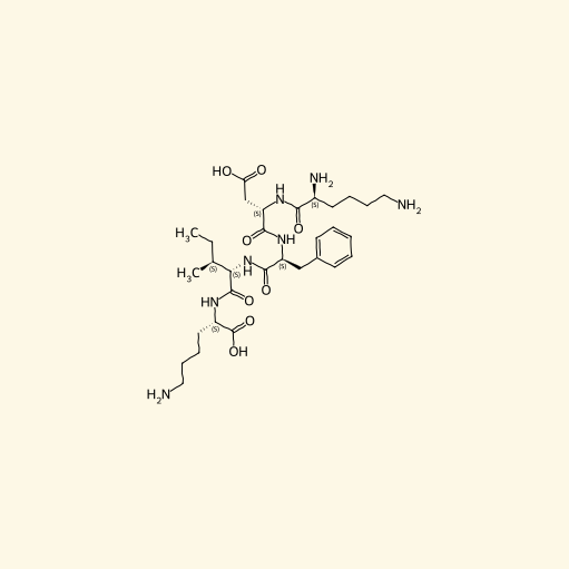 CC[C@H](C)[C@H](NC(=O)[C@H](Cc1ccccc1)NC(=O)[C@H](CC(=O)O)NC(=O)[C@@H](N)CCCCN)C(=O)N[C@@H](CCCCN)C(=O)O